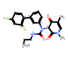 CC1=CN(C)C(=O)[C@@H](N(C(=O)NCCC(=O)O)c2cccc(-c3ccc(F)cc3F)c2)C1=O